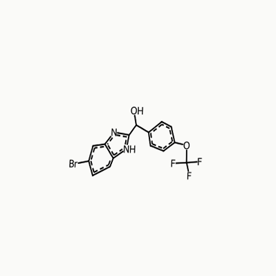 OC(c1ccc(OC(F)(F)F)cc1)c1nc2cc(Br)ccc2[nH]1